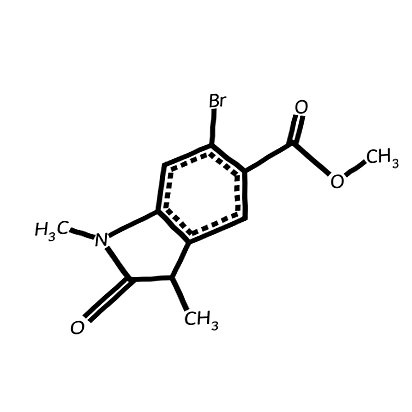 COC(=O)c1cc2c(cc1Br)N(C)C(=O)C2C